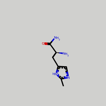 Cc1ncc(C[C@H](N)C(N)=O)[nH]1